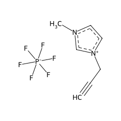 C#CC[n+]1ccn(C)c1.F[P-](F)(F)(F)(F)F